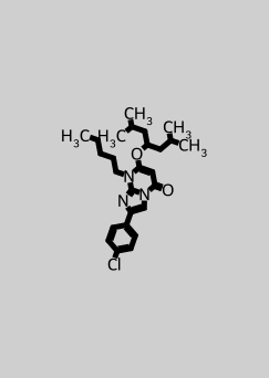 CCCCCn1c(OC(CC(C)C)CC(C)C)cc(=O)n2cc(-c3ccc(Cl)cc3)nc12